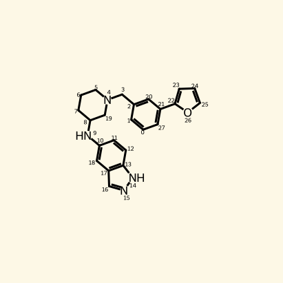 c1cc(CN2CCCC(Nc3ccc4[nH]ncc4c3)C2)cc(-c2ccco2)c1